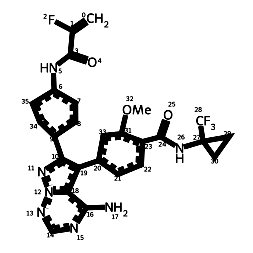 C=C(F)C(=O)Nc1ccc(-c2nn3ncnc(N)c3c2-c2ccc(C(=O)NC3(C(F)(F)F)CC3)c(OC)c2)cc1